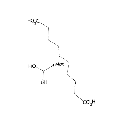 CCCCCCCCCC(O)O.O=C(O)CCCCCCCCC(=O)O